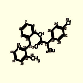 CCC(C)C(C(=O)Oc1ccccc1Cc1ncccc1C)c1ccc(Cl)cc1